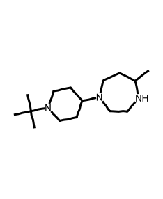 CC1CCN(C2CCN(C(C)(C)C)CC2)CCN1